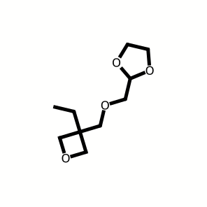 CCC1(COCC2OCCO2)COC1